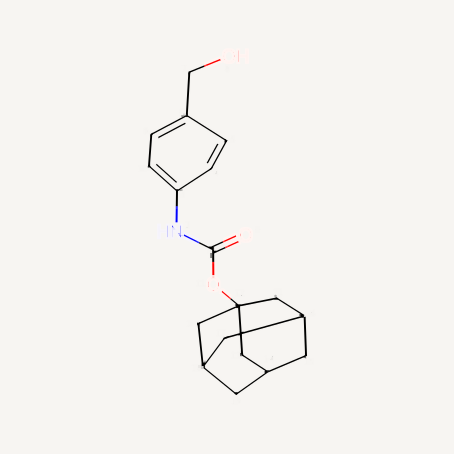 O=C(Nc1ccc(CO)cc1)OC12CC3CC(CC(C3)C1)C2